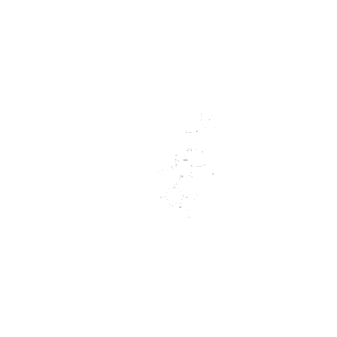 CCC1(C2CC2)CCN(c2nc(C)c(-c3ccnc(Cl)c3Cl)nc2CO)CC1